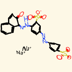 O=C1C=Cc2ccccc2/C1=N/Nc1ccc(N=Nc2ccc(S(=O)(=O)[O-])cc2)cc1S(=O)(=O)[O-].[Na+].[Na+]